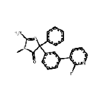 CN1C(=O)C(c2cc[c]cc2)(c2cccc(-c3cccnc3F)c2)N=C1N